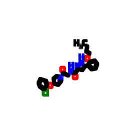 CCCCOc1ccccc1C1CC(C(=O)NCC(=O)N2CCC(Oc3ccccc3Cl)CC2)=NN1